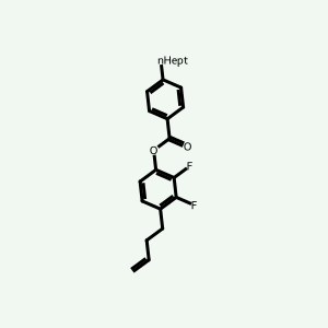 C=CCCc1ccc(OC(=O)c2ccc(CCCCCCC)cc2)c(F)c1F